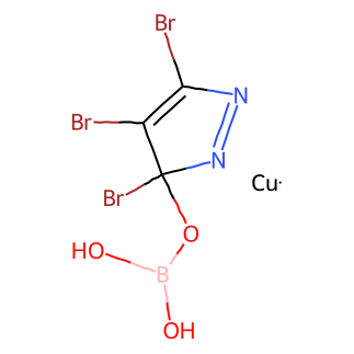 OB(O)OC1(Br)N=NC(Br)=C1Br.[Cu]